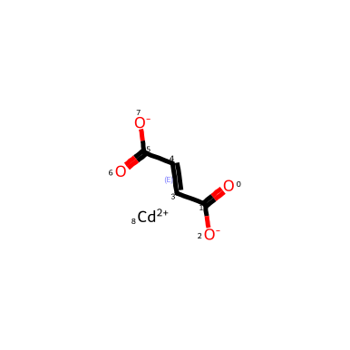 O=C([O-])/C=C/C(=O)[O-].[Cd+2]